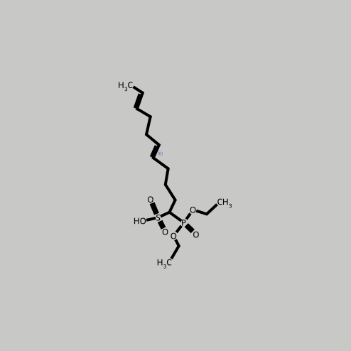 CC=CCC/C=C/CCCC(P(=O)(OCC)OCC)S(=O)(=O)O